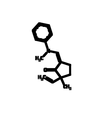 C=CC1(C)CCC(=CN(C)c2ccccc2)C1=O